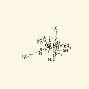 CCCCCCCC(=O)OCC(CC)(CO[Si](CCCSC(=O)CCCCCCC)(OCC)OCC(CC)(CO)CO)C(CCCS)(OCC(CC)(CO)CO)O[SiH2]OCC